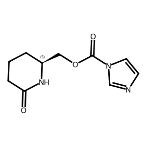 O=C1CCC[C@@H](COC(=O)n2ccnc2)N1